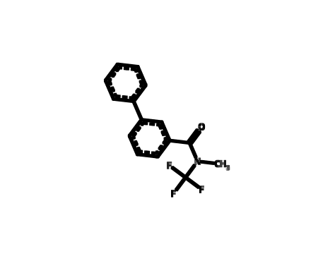 CN(C(=O)c1cccc(-c2ccccc2)c1)C(F)(F)F